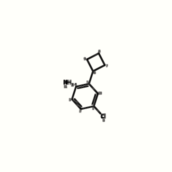 Clc1cccc(C2CCC2)c1.N